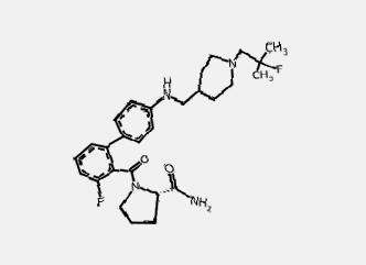 CC(C)(F)CN1CCC(CNc2ccc(-c3cccc(F)c3C(=O)N3CCC[C@H]3C(N)=O)cc2)CC1